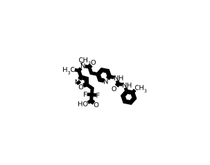 Cc1ccccc1NC(=O)Nc1ccc(CC(=O)N(C)C(C)c2cc(CC(F)(F)C(=O)O)on2)cn1